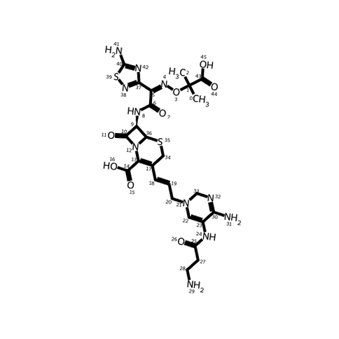 CC(C)(O/N=C(\C(=O)N[C@@H]1C(=O)N2C(C(=O)O)=C(/C=C/CN3C=C(NC(=O)CCN)C(N)=NC3)CSC12)c1nsc(N)n1)C(=O)O